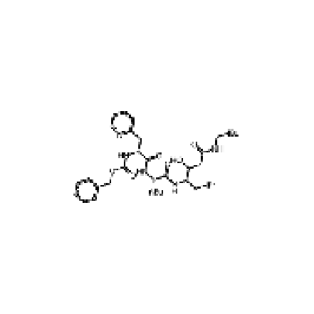 CCCC[C@H](NC(=O)[C@H](Cc1ccccn1)NC(=O)OCc1ccccc1)C(=O)NC(CC(C)C)C(O)CC(=O)NCC(C)CC